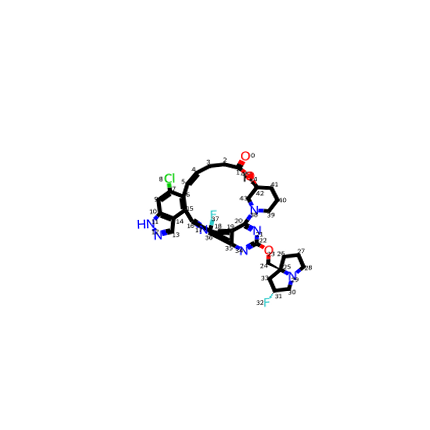 O=C1CC/C=C\c2c(Cl)cc3[nH]ncc3c2-c2ncc3c(nc(OC[C@@]45CCCN4C[C@H](F)C5)nc3c2F)N2CCC[C@H](C2)O1